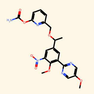 COc1cnc(-c2cc(C(C)OCc3cccc(OC(N)=O)n3)cc([N+](=O)[O-])c2OC)nc1